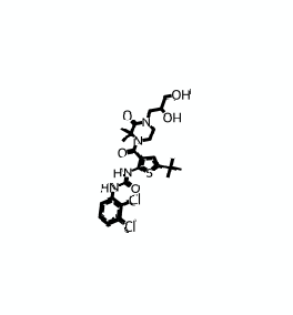 CC(C)(C)c1cc(C(=O)N2CCN(CC(O)CO)C(=O)C2(C)C)c(NC(=O)Nc2cccc(Cl)c2Cl)s1